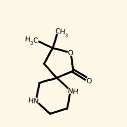 CC1(C)CC2(CNCCN2)C(=O)O1